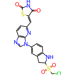 O=C1NC(=O)/C(=C/c2ccc3ncn(-c4ccc5c(c4)CC(S(=O)(=O)CCl)N5)c3n2)S1